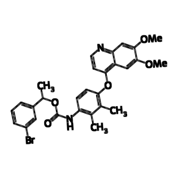 COc1cc2nccc(Oc3ccc(NC(=O)OC(C)c4cccc(Br)c4)c(C)c3C)c2cc1OC